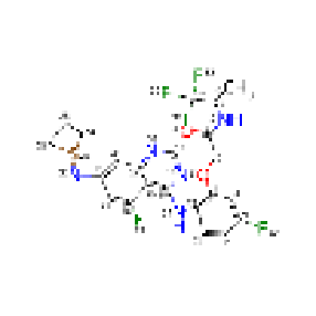 CC(NC(=O)COc1cc(F)ccc1Nc1ncnc2cc(N=S3CCC3)cc(F)c12)C(F)(F)F